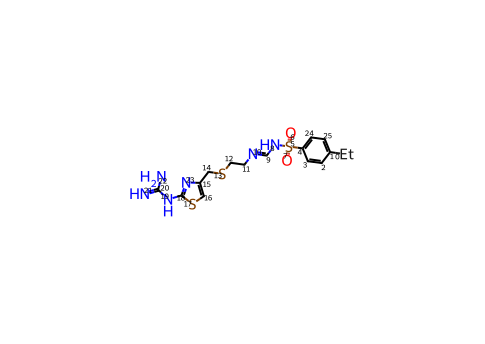 CCc1ccc(S(=O)(=O)NC=NCCSCc2csc(NC(=N)N)n2)cc1